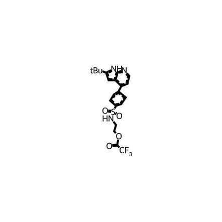 CC(C)(C)c1cc2c(-c3ccc(S(=O)(=O)NCCOC(=O)C(F)(F)F)cc3)ccnc2[nH]1